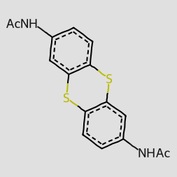 CC(=O)Nc1ccc2c(c1)Sc1ccc(NC(C)=O)cc1S2